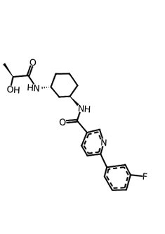 C[C@H](O)C(=O)N[C@@H]1CCC[C@@H](NC(=O)c2ccc(-c3cccc(F)c3)nc2)C1